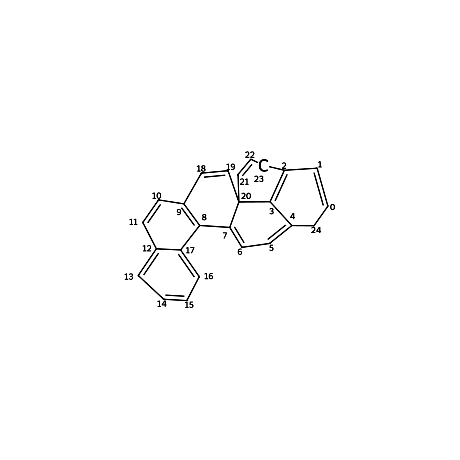 C1=CC2=C3C(=CC=C4c5c(ccc6ccccc56)C=CC43C=CC2)C1